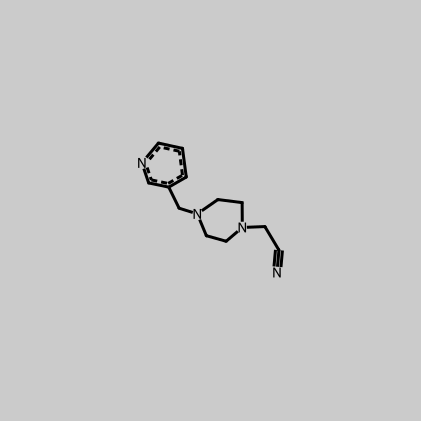 N#CCN1CCN(Cc2cccnc2)CC1